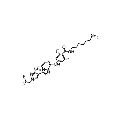 Cc1cc(Nc2nccn3c(-c4cn(CC(F)F)nc4C(F)(F)F)cnc23)cc(F)c1C(=O)NCCCCCCN